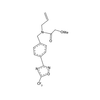 C=CCN(Cc1ccc(-c2noc(C(F)(F)F)n2)cc1)C(=O)COC